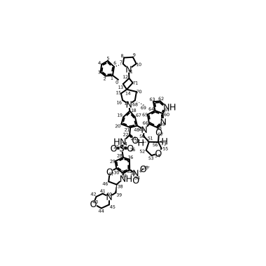 Cc1ccccc1[C@@H]1CCCN1C1CC2(CCN(c3ccc(C(=O)NS(=O)(=O)c4cc5c(c([N+](=O)[O-])c4)N[C@@H](CN4CCOCC4)CO5)c(N4C[C@@H]5CCOC[C@H]5Oc5nc6[nH]ccc6cc54)c3)[C@@H](C)C2)C1